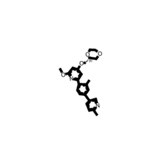 COc1cc(OC[C@H]2COCCO2)cc(-c2ccc(-c3ccc(C)nc3)cc2C)n1